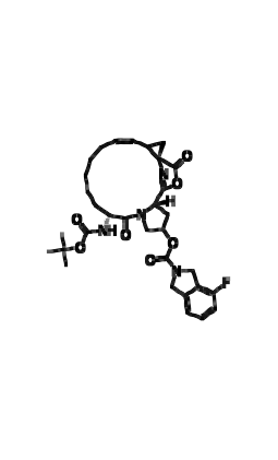 CC(C)(C)OC(=O)N[C@@H]1CCCCC/C=C\C2C[C@@]23N=C(OC3=O)[C@@H]2CC(OC(=O)N3Cc4cccc(F)c4C3)CN2C1=O